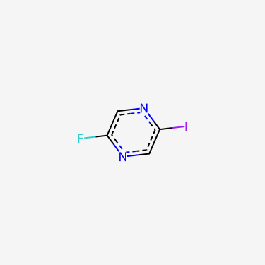 Fc1cnc(I)cn1